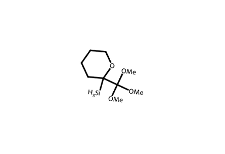 COC(OC)(OC)C1([SiH3])CCCCO1